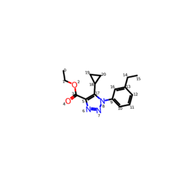 CCOC(=O)c1nnn(-c2cccc(CC)c2)c1C1CC1